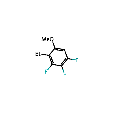 CCc1c(OC)cc(F)c(F)c1F